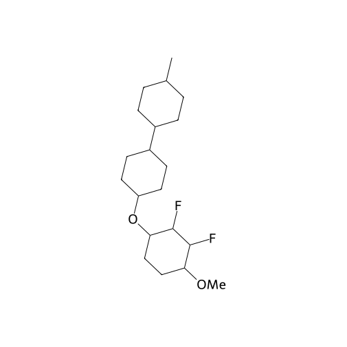 COC1CCC(OC2CCC(C3CCC(C)CC3)CC2)C(F)C1F